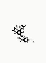 Cc1cnc(-c2cc(OC(C)C(C)O)cc(C(=O)N[C@H](C)c3cnc(C(F)(F)F)nc3)c2F)s1